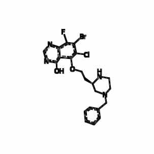 Oc1ncnc2c(F)c(Br)c(Cl)c(OCC[C@@H]3CN(Cc4ccccc4)CCN3)c12